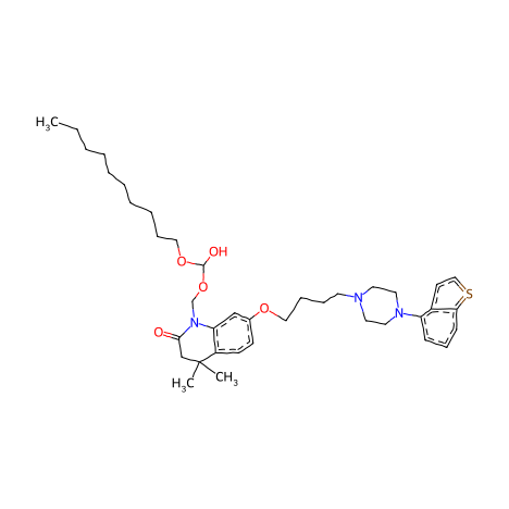 CCCCCCCCCCOC(O)OCN1C(=O)CC(C)(C)c2ccc(OCCCCN3CCN(c4cccc5sccc45)CC3)cc21